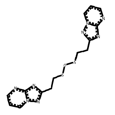 c1cnc2nc(CCSOSCCc3nc4ncccn4n3)nn2c1